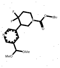 COC(OC)c1cncc(C2CN(C(=O)OC(C)(C)C)CCC2(F)F)c1